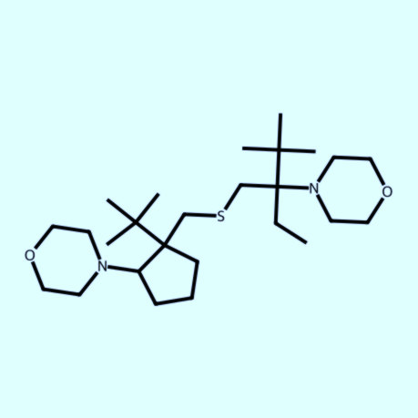 CCC(CSCC1(C(C)(C)C)CCCC1N1CCOCC1)(N1CCOCC1)C(C)(C)C